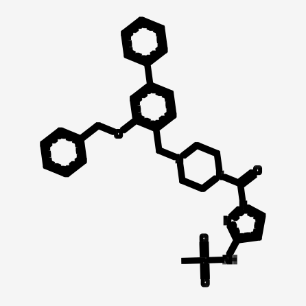 CS(=O)(=O)Nc1ccn(C(=O)N2CCN(Cc3ccc(-c4ccccc4)cc3OCc3ccccc3)CC2)n1